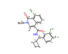 CNn1c(C)c(C(=O)N[C@H](c2ccc(F)c(F)c2)C2CCC2)c2cccc(F)c2c1=O